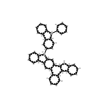 c1ccc(-n2c3ccccc3c3cc(-n4c5ccccc5c5cc6c7ccccc7c7c8ccccc8sc7c6cc54)ccc32)cc1